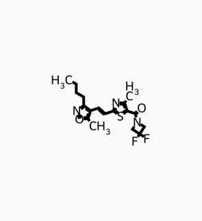 CCCCc1noc(C)c1C=Cc1nc(C)c(C(=O)N2CC(F)(F)C2)s1